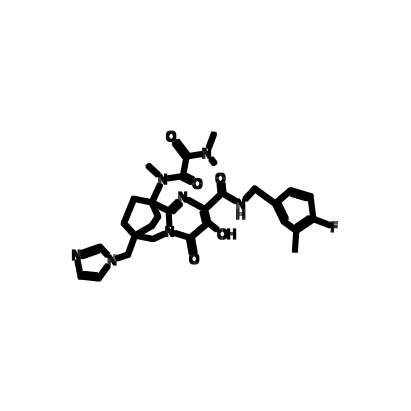 Cc1cc(CNC(=O)c2nc3n(c(=O)c2O)CC2(Cn4ccnc4)CCC3(N(C)C(=O)C(=O)N(C)C)CC2)ccc1F